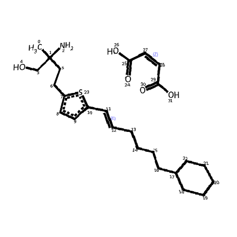 CC(N)(CO)CCc1ccc(/C=C/CCCCC2CCCCC2)s1.O=C(O)/C=C\C(=O)O